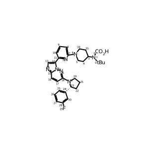 CC(C)(C)N(C(=O)O)C1CCN(c2cccc(-c3cnc4ccc(N5CCC[C@@H]5c5cccc(F)c5)nn34)n2)CC1